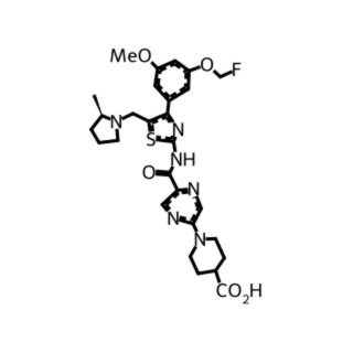 COc1cc(OCF)cc(-c2nc(NC(=O)c3cnc(N4CCC(C(=O)O)CC4)cn3)sc2CN2CCC[C@H]2C)c1